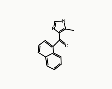 Cc1[nH]cnc1C(=O)c1cccc2ccccc12